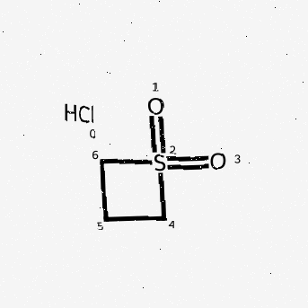 Cl.O=S1(=O)CCC1